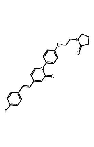 O=C1CCCN1CCOc1ccc(-n2ccc(/C=C/c3ccc(F)cc3)cc2=O)cc1